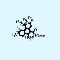 CCOC(Cc1c(C(=O)N(C)OC)c(O)c2c(c1C(=O)OC(C)(C)C)CC(C)(C)CC2)OCC